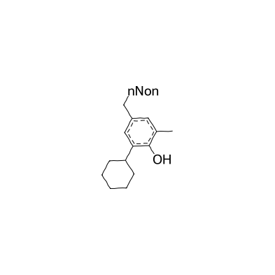 CCCCCCCCCCc1cc(C)c(O)c(C2CCCCC2)c1